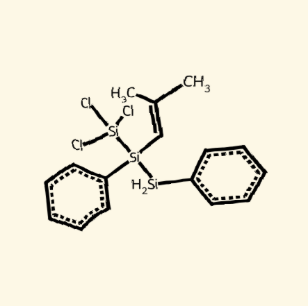 CC(C)=C[Si]([SiH2]c1ccccc1)(c1ccccc1)[Si](Cl)(Cl)Cl